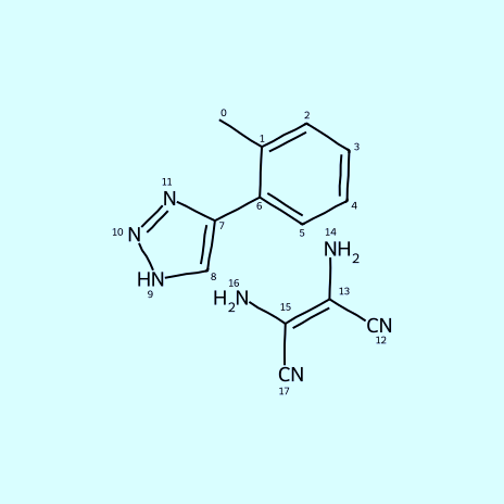 Cc1ccccc1-c1c[nH]nn1.N#C/C(N)=C(/N)C#N